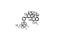 Cc1nnc(N[C@H](C)c2cccc(C(F)(F)F)c2)c2cc(C3=CCCN(C(=O)OC(C)(C)C)C3)c(=O)n(C)c12